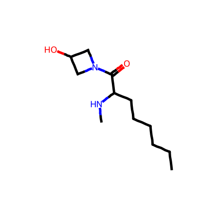 CCCCCCC(NC)C(=O)N1CC(O)C1